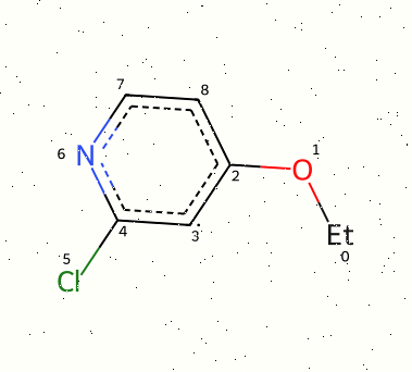 CCOc1[c]c(Cl)ncc1